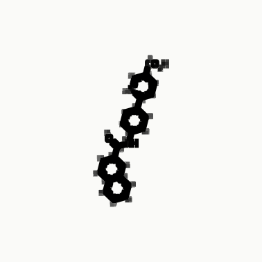 O=C(O)c1ccc(-c2ccc(NC(=O)c3ccc4ccccc4c3)cc2)nc1